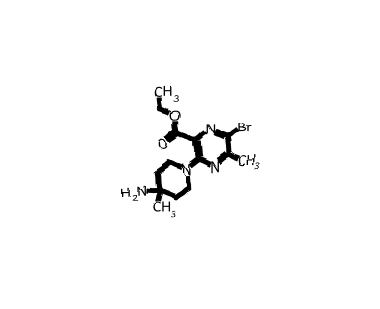 CCOC(=O)c1nc(Br)c(C)nc1N1CCC(C)(N)CC1